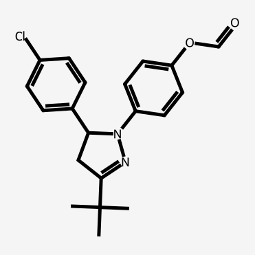 CC(C)(C)C1=NN(c2ccc(OC=O)cc2)C(c2ccc(Cl)cc2)C1